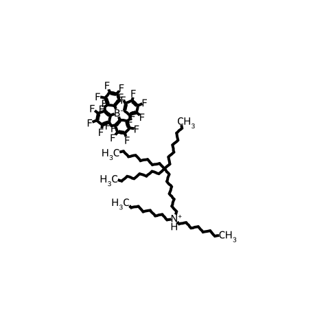 CCCCCCCC[NH+](CCCCCCCC)CCCCCCCC(CCCCCCCC)(CCCCCCCC)CCCCCCCC.Fc1c(F)c(F)c([B-](c2c(F)c(F)c(F)c(F)c2F)(c2c(F)c(F)c(F)c(F)c2F)c2c(F)c(F)c(F)c(F)c2F)c(F)c1F